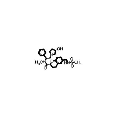 CN(C(=O)[C@H]1CCc2cc(CNS(C)(=O)=O)ccc2O1)[C@H](CN1CC[C@H](O)C1)c1ccccc1